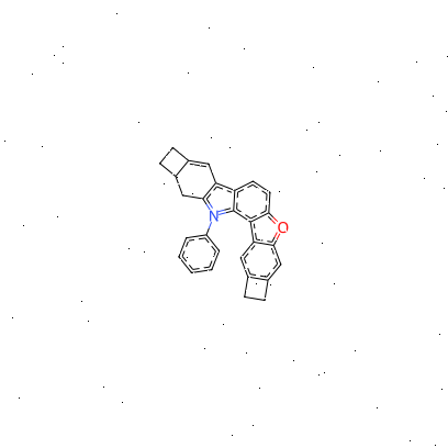 C1=C2CCC2Cc2c1c1ccc3oc4cc5c(cc4c3c1n2-c1ccccc1)CC5